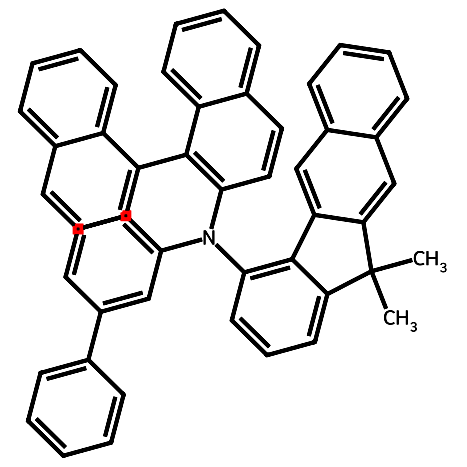 CC1(C)c2cc3ccccc3cc2-c2c(N(c3cccc(-c4ccccc4)c3)c3ccc4ccccc4c3-c3cccc4ccccc34)cccc21